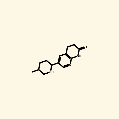 CC1CCC(c2cnc3c(c2)CCC(=O)N3)NC1